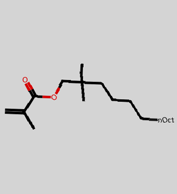 C=C(C)C(=O)OCC(C)(C)CCCCCCCCCCCC